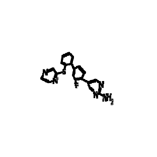 Nc1ncc(-c2ccc(-c3ccccc3Sc3cnccn3)cc2F)cn1